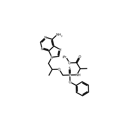 CC(C)OC(=O)C(C)NP(=S)(COC(C)Cn1cnc2c(N)ncnc21)Oc1ccccc1